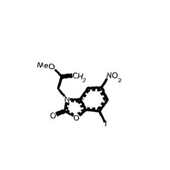 C=C(Cn1c(=O)oc2c(I)cc([N+](=O)[O-])cc21)OC